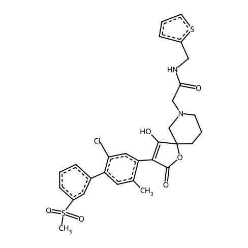 Cc1cc(-c2cccc(S(C)(=O)=O)c2)c(Cl)cc1C1=C(O)C2(CCCN(CC(=O)NCc3cccs3)C2)OC1=O